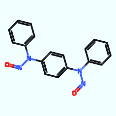 O=NN(c1ccccc1)c1ccc(N(N=O)c2ccccc2)cc1